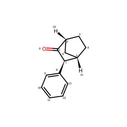 O=C1[C@@H]2CC[C@@H](C2)[C@H]1c1ccccc1